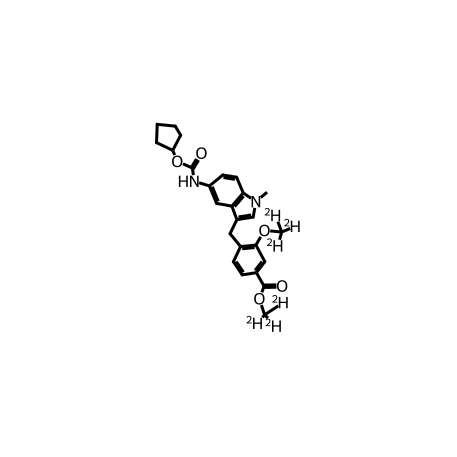 [2H]C([2H])([2H])OC(=O)c1ccc(Cc2cn(C)c3ccc(NC(=O)OC4CCCC4)cc23)c(OC([2H])([2H])[2H])c1